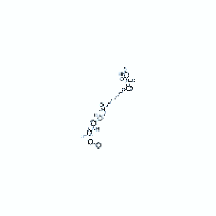 O=C1CCC(N2Cc3c(OCCCCCCCCCC(=O)N4CCC5(CC4)CCN(c4cncc(Nc6ncc(Cl)c(-c7cccc(-c8ccccc8)c7)n6)c4)C5=O)cccc3C2=O)C(=O)N1